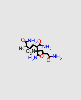 N#CC(C=CC(C(N)=O)C(C=CCC(N)=O)(C(N)=O)[N+](=O)[O-])C(N)=O